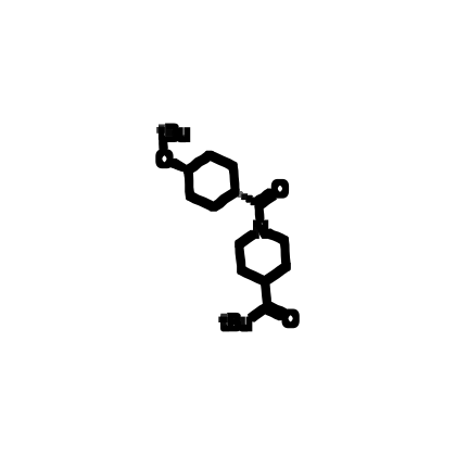 CC(C)(C)O[C@H]1CC[C@H](C(=O)N2CCC(C(=O)C(C)(C)C)CC2)CC1